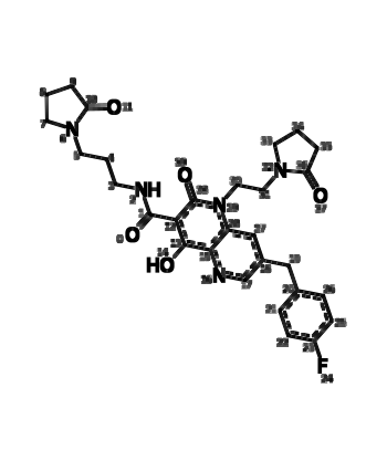 O=C(NCCCN1CCCC1=O)c1c(O)c2ncc(Cc3ccc(F)cc3)cc2n(CCN2CCCC2=O)c1=O